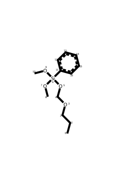 CCCOCO[Si](OC)(OC)c1ccccc1